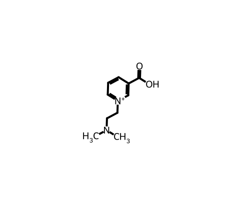 CN(C)CC[n+]1cccc(C(=O)O)c1